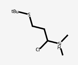 C[SiH](C)C(Cl)CCSC(C)(C)C